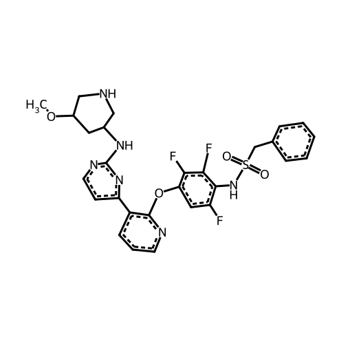 COC1CNCC(Nc2nccc(-c3cccnc3Oc3cc(F)c(NS(=O)(=O)Cc4ccccc4)c(F)c3F)n2)C1